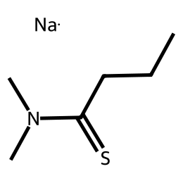 CCCC(=S)N(C)C.[Na]